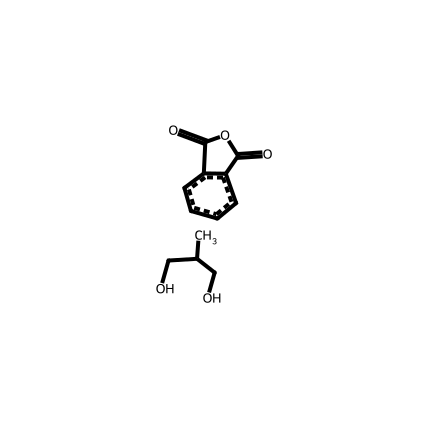 CC(CO)CO.O=C1OC(=O)c2ccccc21